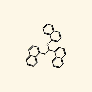 c1ccc2c(OB(Oc3cccc4ccccc34)c3cccc4ccccc34)cccc2c1